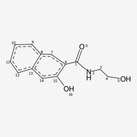 O=C(NCCO)c1cc2ccccc2cc1O